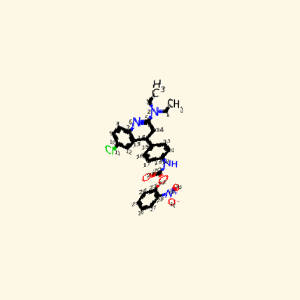 CCN(CC)C1=Nc2ccc(Cl)cc2C(c2ccc(NC(=O)Oc3ccccc3[N+](=O)[O-])cc2)C1